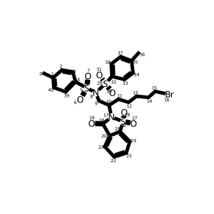 Cc1ccc(S(=O)(=O)N(CC(CCCCCBr)N2C(=O)c3ccccc3S2(=O)=O)S(=O)(=O)c2ccc(C)cc2)cc1